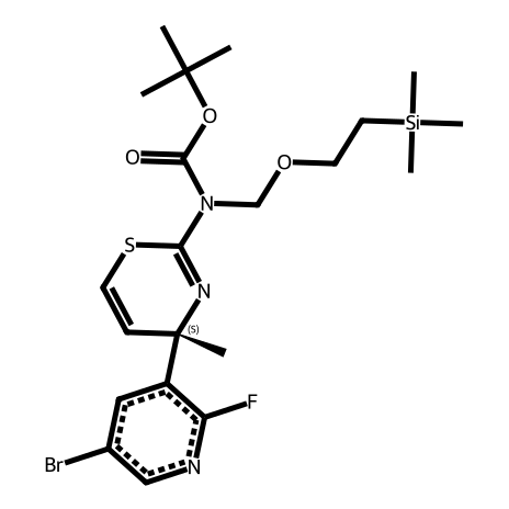 CC(C)(C)OC(=O)N(COCC[Si](C)(C)C)C1=N[C@](C)(c2cc(Br)cnc2F)C=CS1